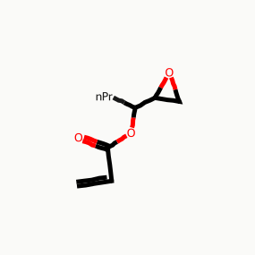 C=CC(=O)OC(CCC)C1CO1